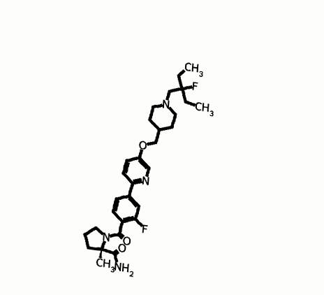 CCC(F)(CC)CN1CCC(COc2ccc(-c3ccc(C(=O)N4CCC[C@@]4(C)C(N)=O)c(F)c3)nc2)CC1